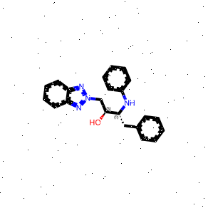 O[C@@H](Cn1nc2ccccc2n1)[C@@H](Cc1ccccc1)Nc1ccccc1